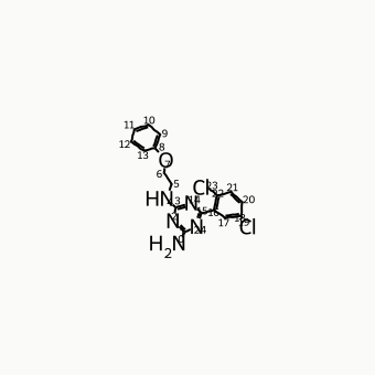 Nc1nc(NCCOc2ccccc2)nc(-c2cc(Cl)ccc2Cl)n1